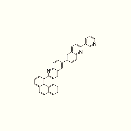 c1cncc(-c2ccc3cc(-c4ccc5nc(-c6cccc7ccc8ccccc8c67)ccc5c4)ccc3n2)c1